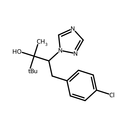 CC(C)(C)C(C)(O)C(Cc1ccc(Cl)cc1)n1cncn1